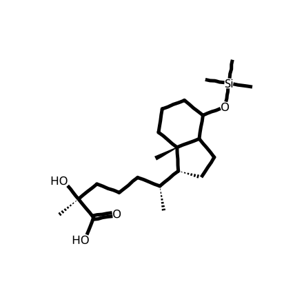 C[C@H](CCC[C@](C)(O)C(=O)O)[C@H]1CCC2C(O[Si](C)(C)C)CCC[C@]21C